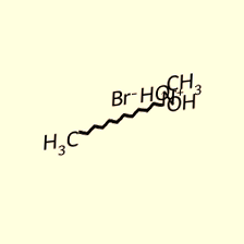 CCCCCCCCCCCCC[N+](O)(O)CC.[Br-]